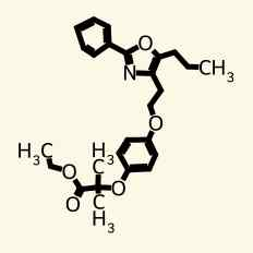 CCCc1oc(-c2ccccc2)nc1CCOc1ccc(OC(C)(C)C(=O)OCC)cc1